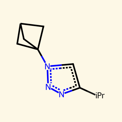 CC(C)c1cn(C23CC(C2)C3)nn1